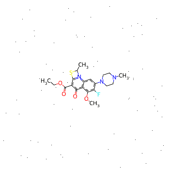 CCOC(=O)c1c2n(c3cc(N4CCN(C)CC4)c(F)c(OC)c3c1=O)C(C)S2